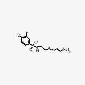 Cc1cc(S(=O)(=O)NCCSSCCN)ccc1O